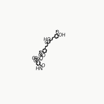 CNC(=O)c1ccc(OS(C)(=O)=O)[n+](COC(=O)Oc2ccc(/C=C/C(=O)/C=C(O)/C=C/c3ccc(O)c(OC)c3)cc2OC)c1